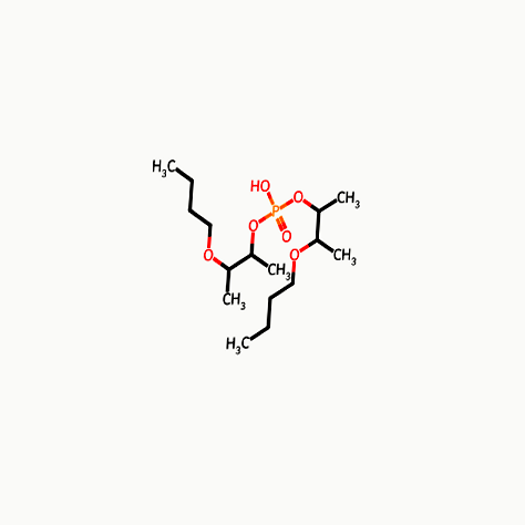 CCCCOC(C)C(C)OP(=O)(O)OC(C)C(C)OCCCC